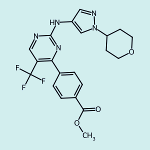 COC(=O)c1ccc(-c2nc(Nc3cnn(C4CCOCC4)c3)ncc2C(F)(F)F)cc1